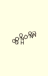 COc1ccc(C(=O)Nc2ccc(C3=NC4=NC=CCC4O3)cc2)cc1OC